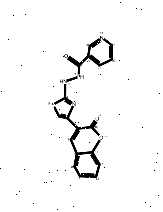 O=C(PNc1nc(-c2cc3ccccc3oc2=O)cs1)c1cccnc1